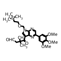 COc1cc(-c2cnc3c(n2)c(C(=O)C(C)(C)CC=O)cn3COCC[Si](C)(C)C)cc(OC)c1OC